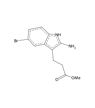 COC(=O)CCc1c(N)[nH]c2ccc(Br)cc12